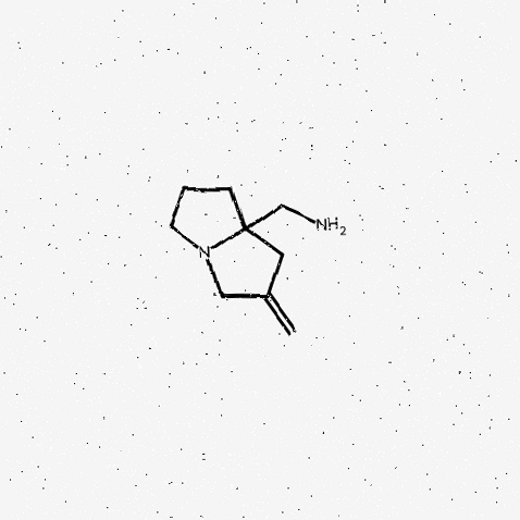 C=C1CN2CCCC2(CN)C1